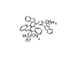 CC(C)(C)c1ccc(N(c2ccc3c(c2)-c2cc4ccccc4cc2C3(C)C)c2ccc3ccccc3c2-c2cccc3ccccc23)c2ccccc12